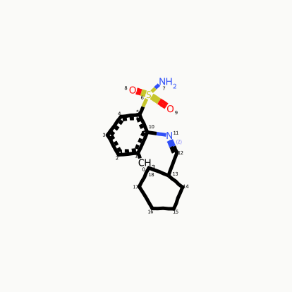 Cc1cccc(S(N)(=O)=O)c1/N=C\C1CCCCC1